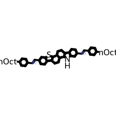 CCCCCCCCc1ccc(/C=C/c2ccc3c(c2)[nH]c2c3ccc3c2ccc2c4ccc(/C=C/c5ccc(CCCCCCCC)cc5)cc4sc23)cc1